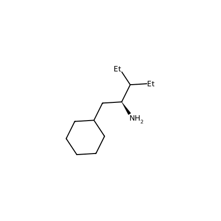 CCC(CC)[C@@H](N)CC1CCCCC1